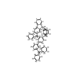 CC12c3ccccc3-c3cc4c5ccccc5n(c4cc31)-c1cc(-c3cccc4c3c3ccccc3n4-c3ccccc3)ccc1-c1ccc2c2ccccc12